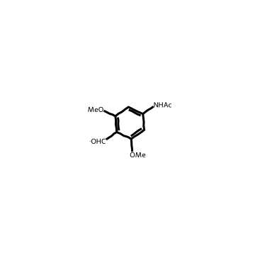 COc1cc(NC(C)=O)cc(OC)c1[C]=O